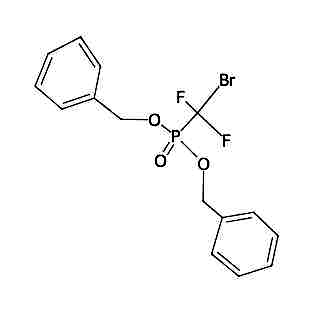 O=P(OCc1ccccc1)(OCc1ccccc1)C(F)(F)Br